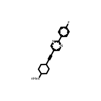 CCCCCCC1CCC(C#Cc2cnc(-c3ccc(F)cc3)nc2)CC1